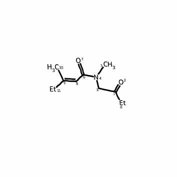 CCC(=O)CN(C)C(=O)/C=C(\C)CC